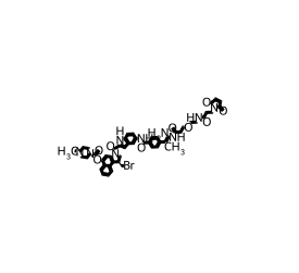 C/C(=C(/N)NC(=O)CCOCCNC(=O)CCN1C(=O)C=CC1=O)c1ccc(C(=O)Nc2ccc3[nH]c(C(=O)N4C[C@@H](CBr)c5c4cc(OC(=O)N4CCN(C)CC4)c4ccccc54)cc3c2)cc1